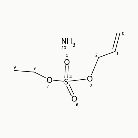 C=CCOS(=O)(=O)OCC.N